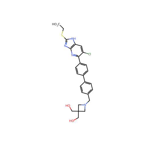 O=C(O)CSc1nc2nc(-c3ccc(-c4ccc(CN5CC(CO)(CO)C5)cc4)cc3)c(Cl)cc2[nH]1